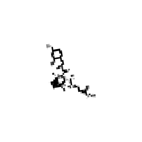 COC(=O)CCNC(=O)[C@H]1[C@H](C(=O)NCc2ccc(Br)cc2F)[C@@H]2CC[C@H]1C21CC1